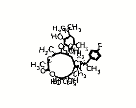 CC[C@H]1OC(=O)[C@H](C)C[C@H](C)[C@@H](OC2OC(C)CC(N(C)C)C2O)[C@](C)(O)C[C@@H](C)/C(=N\N=C(/C)c2ccc(F)cc2)[C@H](C)[C@@H](O)[C@]1(C)O